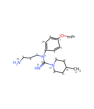 CCCOc1ccc(N(CCCN)C(=N)N2CCC(C)CC2)cc1